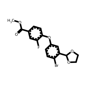 COC(=O)c1ccc(Oc2ccc(Br)c(C3OCCO3)c2)c(F)c1